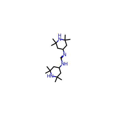 CC1(C)CC(N=CNC2CC(C)(C)NC(C)(C)C2)CC(C)(C)N1